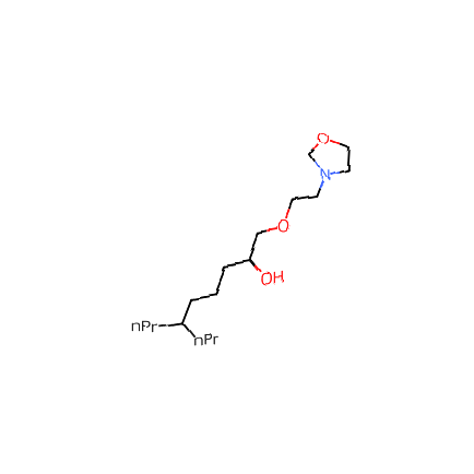 CCCC(CCC)CCCC(O)COCCN1CCOC1